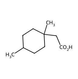 CC1CCC(C)(CC(=O)O)CC1